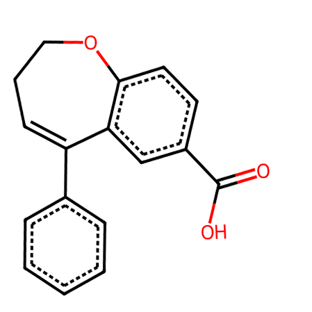 O=C(O)c1ccc2c(c1)C(c1ccccc1)=CCCO2